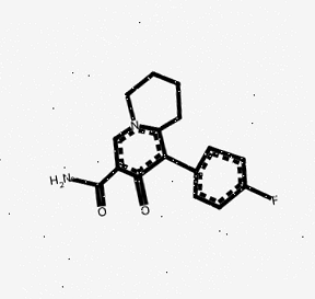 NC(=O)c1cn2c(c(-c3ccc(F)cc3)c1=O)CCCC2